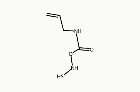 C=CCNC(=O)ONS